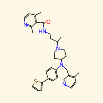 Cc1ccncc1CN(c1ccc(-c2cccs2)cc1)C1CCN(C(C)CCNC(=O)c2c(C)ccnc2C)CC1